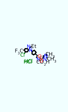 CCc1nc2cc(C(F)(F)F)c(Cl)cc2n1-c1ccc(CCN(C(=O)O)S(=O)(=O)c2cn(C)c(C)n2)cc1.Cl.Cl